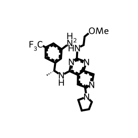 COCCNc1nc(N[C@H](C)c2cc(N)cc(C(F)(F)F)c2)c2cc(N3CCCC3)ncc2n1